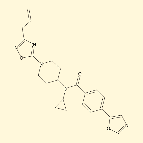 C=CCc1noc(N2CCC(N(C(=O)c3ccc(-c4cnco4)cc3)C3CC3)CC2)n1